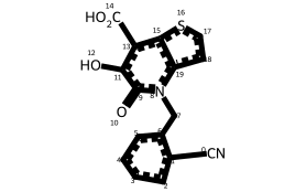 N#Cc1ccccc1Cn1c(=O)c(O)c(C(=O)O)c2sccc21